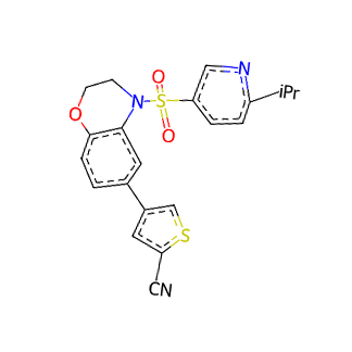 CC(C)c1ccc(S(=O)(=O)N2CCOc3ccc(-c4csc(C#N)c4)cc32)cn1